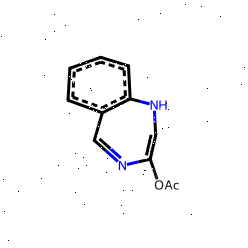 CC(=O)OC1=CNc2ccccc2C=N1